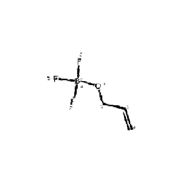 C=CCO[B-](F)(F)F